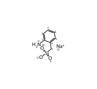 Nc1ccccc1CS(=O)(=O)[O-].[Na+]